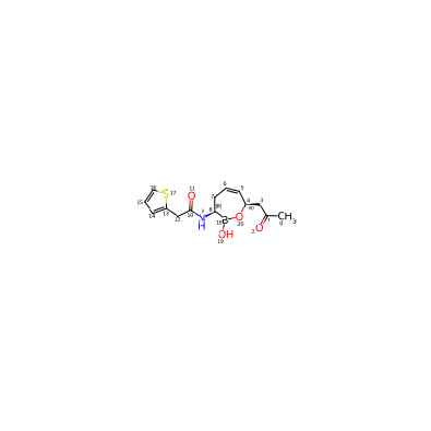 CC(=O)C[C@@H]1C=CC[C@H](NC(=O)Cc2cccs2)B(O)O1